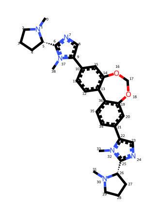 CN1CCC[C@H]1c1ncc(-c2ccc3c(c2)OCOc2cc(-c4cnc([C@@H]5CCCN5C)n4C)ccc2-3)n1C